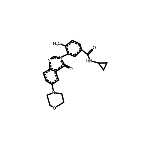 Cc1ccc(C(=O)NC2CC2)cc1-n1cnc2ccc(N3CCOCC3)cc2c1=O